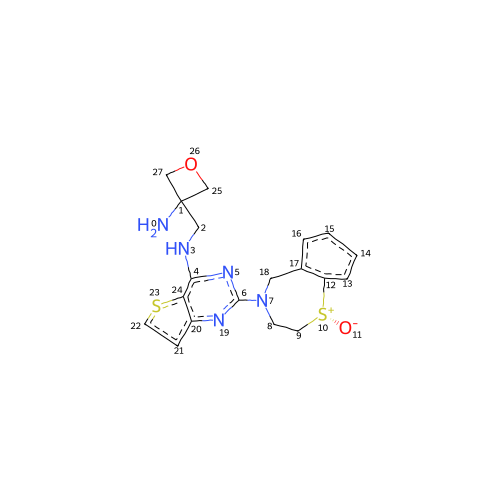 NC1(CNc2nc(N3CC[S@@+]([O-])c4ccccc4C3)nc3ccsc23)COC1